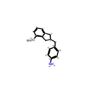 COc1cccc2c1CC(Cc1ccc(N)cc1)C2